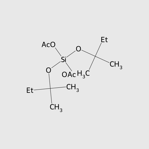 CCC(C)(C)O[Si](OC(C)=O)(OC(C)=O)OC(C)(C)CC